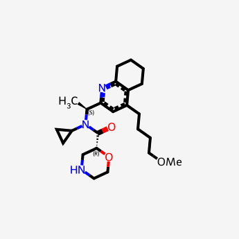 COCCCCc1cc([C@H](C)N(C(=O)[C@H]2CNCCO2)C2CC2)nc2c1CCCC2